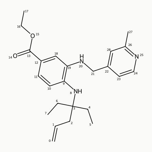 C=CCC(CC)(CC)Nc1ccc(C(=O)OCC)cc1NCc1ccnc(C)c1